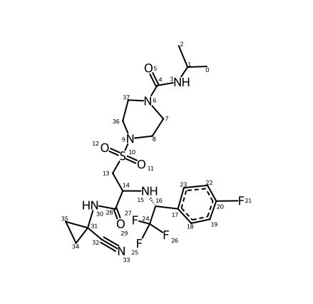 CC(C)NC(=O)N1CCN(S(=O)(=O)CC(N[C@H](c2ccc(F)cc2)C(F)(F)F)C(=O)NC2(C#N)CC2)CC1